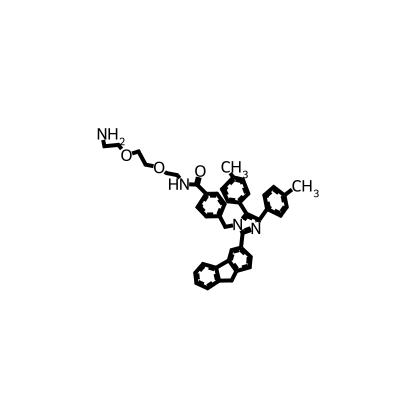 Cc1ccc(-c2nc(-c3ccc4c(c3)-c3ccccc3C4)n(Cc3ccc(C(=O)NCCOCCOCCN)cc3)c2-c2ccc(C)cc2)cc1